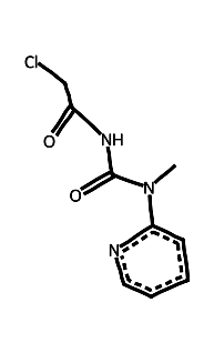 CN(C(=O)NC(=O)CCl)c1ccccn1